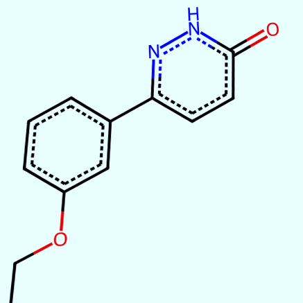 CCOc1cccc(-c2ccc(=O)[nH]n2)c1